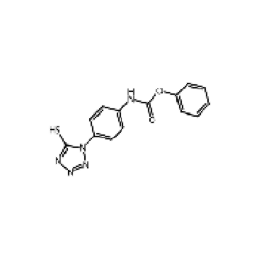 O=C(Nc1ccc(-n2nnnc2S)cc1)Oc1ccccc1